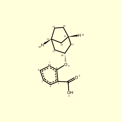 O=C(O)c1cccnc1O[C@@H]1C[C@@H]2CC[C@@H](C2)C1